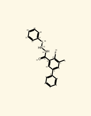 Cc1cc(-c2ccccc2)cc(C(=O)NNSc2ccccc2)c1F